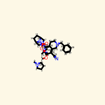 CN1CCC[C@H]1COc1nc(N2CC3CCC(C2)N3C(=O)OC(C)(C)C)c2c(c1C#N)CN(Cc1ccccc1)CC2